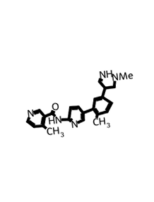 CNCC(C=N)c1ccc(C)c(-c2ccc(NC(=O)c3cnccc3C)nc2)c1